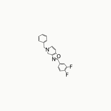 Fc1ccc(-c2nc3c(o2)C=CN(Cc2ccccc2)C3)cc1F